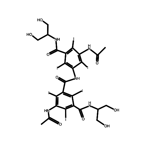 CC(=O)Nc1c(I)c(NC(=O)c2c(I)c(NC(C)=O)c(I)c(C(=O)NC(CO)CO)c2I)c(I)c(C(=O)NC(CO)CO)c1I